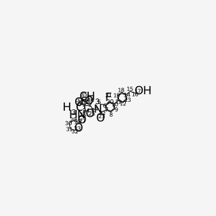 C[C@@](CCN1Cc2c(ccc(-c3ccc(CCO)cc3)c2F)C1=O)(C(=O)NOC1CCCCO1)S(C)(=O)=O